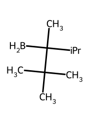 BC(C)(C(C)C)C(C)(C)C